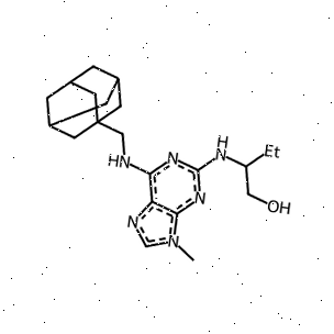 CCC(CO)Nc1nc(NCC23CC4CC(CC(C4)C2)C3)c2ncn(C)c2n1